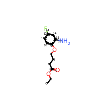 CCOC(=O)CCCOc1ccc(F)cc1N